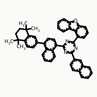 CC1(C)CCC(C)(C)c2cc(-c3ccc(-c4nc(-c5ccc6ccccc6c5)nc(-c5cccc6oc7ccccc7c56)n4)c4ccccc34)ccc21